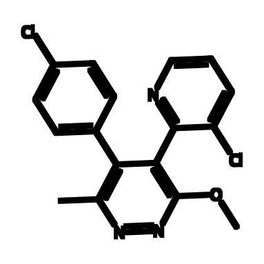 COc1nnc(C)c(-c2ccc(Cl)cc2)c1-c1ncccc1Cl